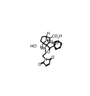 CN1[C@@H]2CC[C@H]1C(NCCN1C(=O)C=CC1=O)(C(=O)c1ccccc1)[C@H](O)[C@@H]2C(=O)O.Cl